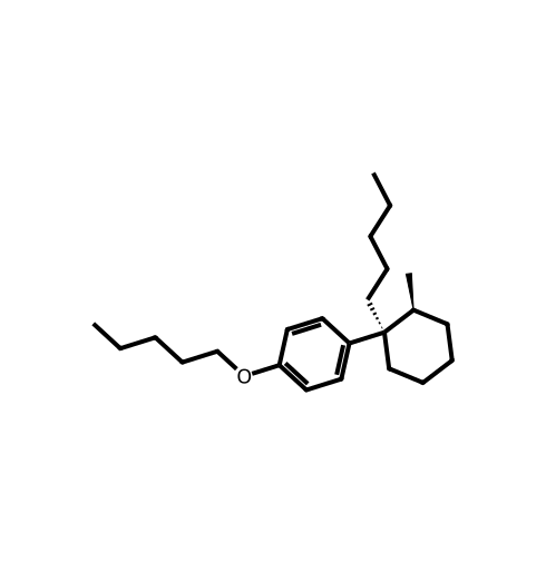 CCCCCOc1ccc([C@]2(CCCCC)CCCC[C@@H]2C)cc1